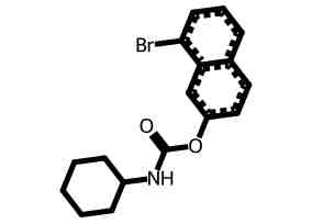 O=C(NC1CCCCC1)Oc1ccc2cccc(Br)c2c1